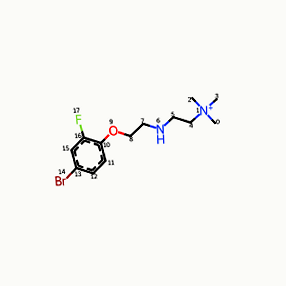 C[N+](C)(C)CCNCCOc1ccc(Br)cc1F